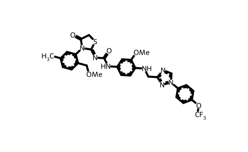 COCc1ccc(C)cc1N1C(=O)CSC1=NC(=O)Nc1ccc(NCc2ncn(-c3ccc(OC(F)(F)F)cc3)n2)c(OC)c1